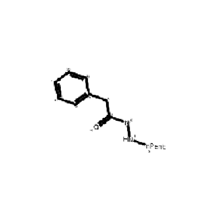 CCCCCN[N]C(=O)Cc1ccccc1